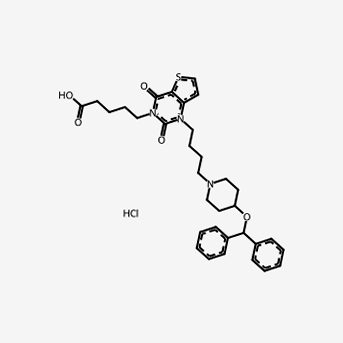 Cl.O=C(O)CCCCn1c(=O)c2sccc2n(CCCCN2CCC(OC(c3ccccc3)c3ccccc3)CC2)c1=O